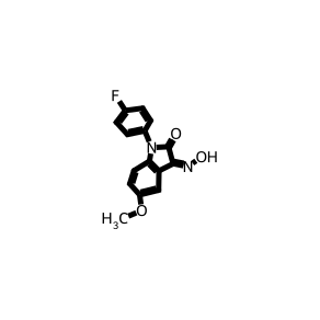 COc1ccc2c(c1)C(=NO)C(=O)N2c1ccc(F)cc1